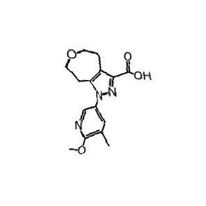 COc1ncc(-n2nc(C(=O)O)c3c2CCOCC3)cc1C